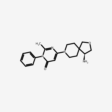 Cc1nc(N2CCC3(CC2)COC[C@H]3N)cc(=O)n1-c1ccccc1